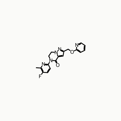 Cc1nc(N2CCn3nc(COc4ccccn4)cc3C2=O)ccc1F